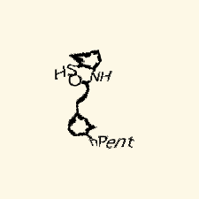 CCCCCc1ccc(/C=C/C(=O)Nc2ccccc2S)cc1